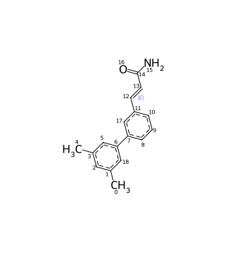 Cc1cc(C)cc(-c2cccc(/C=C/C(N)=O)c2)c1